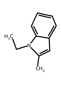 CCn1c(C)cc2ccccc21